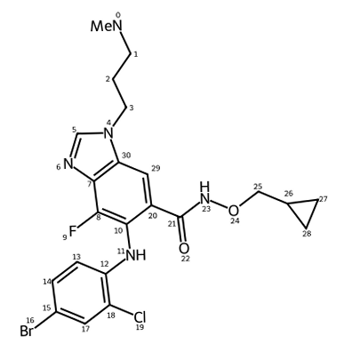 CNCCCn1cnc2c(F)c(Nc3ccc(Br)cc3Cl)c(C(=O)NOCC3CC3)cc21